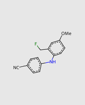 COc1ccc(Nc2ccc(C#N)cc2)c(CF)c1